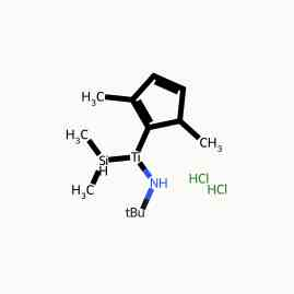 CC1=[C]([Ti]([NH]C(C)(C)C)[SiH](C)C)C(C)C=C1.Cl.Cl